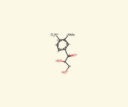 CNc1cc(C(=O)C(O)CO)ccc1[N+](=O)[O-]